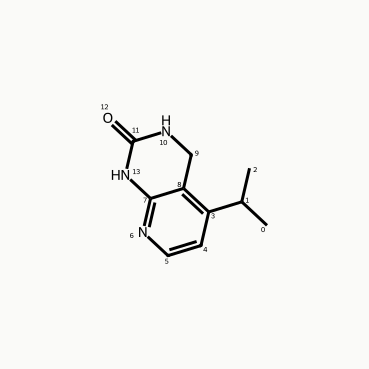 CC(C)c1ccnc2c1CNC(=O)N2